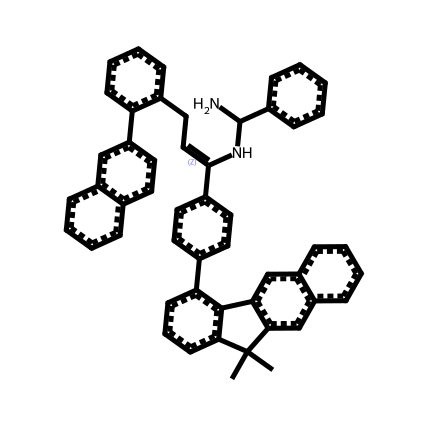 CC1(C)c2cc3ccccc3cc2-c2c(-c3ccc(/C(=C/Cc4ccccc4-c4ccc5ccccc5c4)NC(N)c4ccccc4)cc3)cccc21